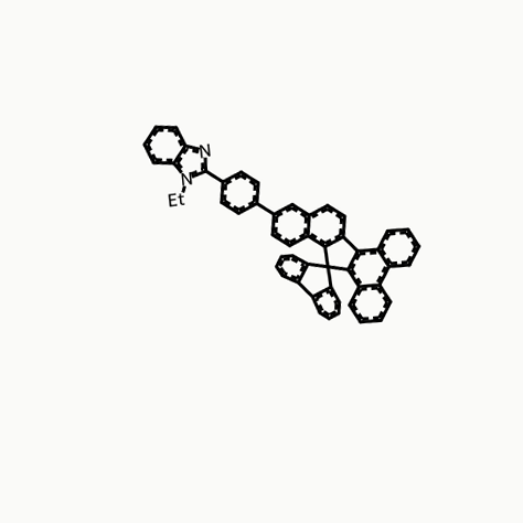 CCn1c(-c2ccc(-c3ccc4c5c(ccc4c3)-c3c(c4ccccc4c4ccccc34)C53c4ccccc4-c4ccccc43)cc2)nc2ccccc21